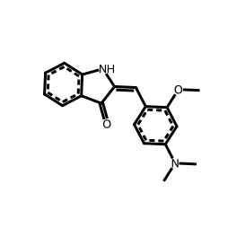 COc1cc(N(C)C)ccc1C=C1Nc2ccccc2C1=O